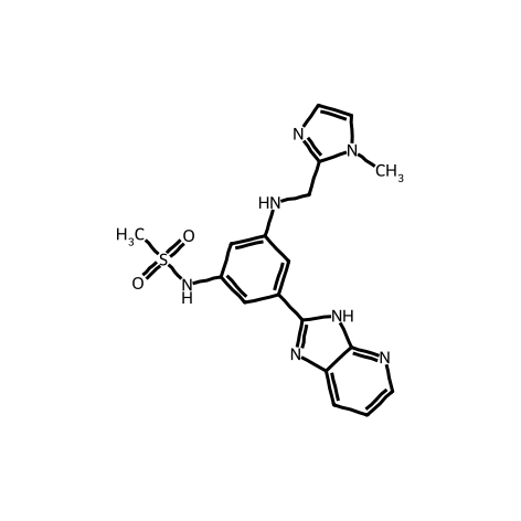 Cn1ccnc1CNc1cc(NS(C)(=O)=O)cc(-c2nc3cccnc3[nH]2)c1